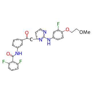 COCCOc1ccc(Nc2nccc(CC(=O)c3cccc(NC(=O)c4c(F)cccc4F)c3)n2)cc1F